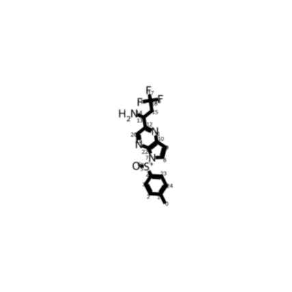 Cc1ccc([S+]([O-])n2ccc3nc(C(N)CC(F)(F)F)cnc32)cc1